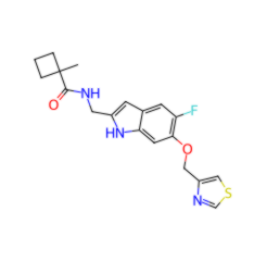 CC1(C(=O)NCc2cc3cc(F)c(OCc4cscn4)cc3[nH]2)CCC1